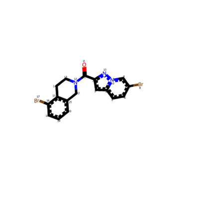 O=C(c1cc2ccc(Br)cn2n1)N1CCc2c(Br)cccc2C1